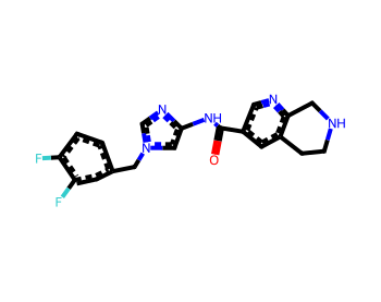 O=C(Nc1cn(Cc2ccc(F)c(F)c2)cn1)c1cnc2c(c1)CCNC2